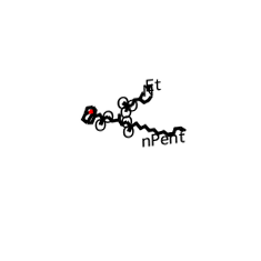 CCCCC/C=C\C/C=C\CCCCCCCC(=O)OCC(COC(=O)CC12CC3CC(CC(C3)C1)C2)COC(=O)OCC1CCCN(CC)C1